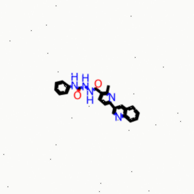 Cc1nc(-c2cnc3ccccc3c2)ccc1C(=O)NNC(=O)Nc1ccccc1